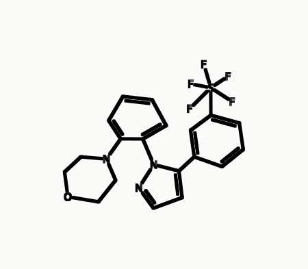 FS(F)(F)(F)(F)c1cccc(-c2ccnn2-c2ccccc2N2CCOCC2)c1